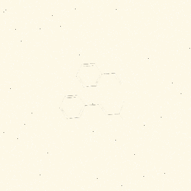 C=Cc1ccccc1.CCC(C=Cc1ccccc1)CC